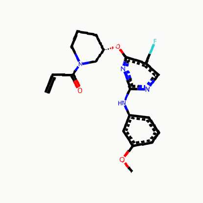 C=CC(=O)N1CCC[C@H](Oc2nc(Nc3cccc(OC)c3)ncc2F)C1